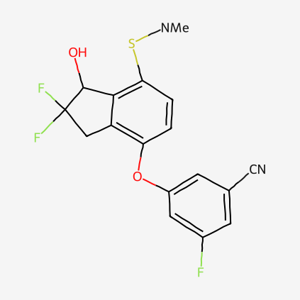 CNSc1ccc(Oc2cc(F)cc(C#N)c2)c2c1C(O)C(F)(F)C2